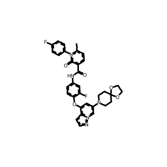 Cc1ccc(C(=O)Nc2ccc(Oc3cc(N4CCC5(CC4)OCCO5)cn4nccc34)c(F)c2)c(=O)n1-c1ccc(F)cc1